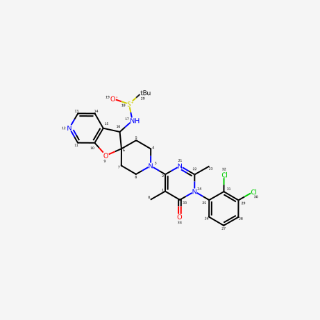 Cc1c(N2CCC3(CC2)Oc2cnccc2C3N[S+]([O-])C(C)(C)C)nc(C)n(-c2cccc(Cl)c2Cl)c1=O